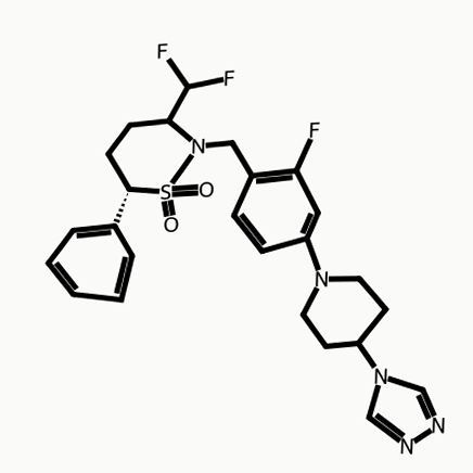 O=S1(=O)[C@H](c2ccccc2)CCC(C(F)F)N1Cc1ccc(N2CCC(n3cnnc3)CC2)cc1F